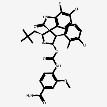 COc1cc(C(N)=O)ccc1NC(=O)O[C@H]1N[C@@H](CC(C)(C)C)[C@@]2(C(=O)Nc3c2ccc(Cl)c3F)[C@H]1c1cccc(Cl)c1F